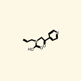 C=CCN(CC(=O)c1ccncc1)C(=O)O